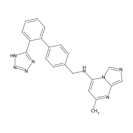 Cc1cc(NCc2ccc(-c3ccccc3-c3nnn[nH]3)cc2)n2cncc2n1